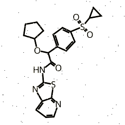 O=C(Nc1nc2cccnc2s1)C(OC1CCCC1)c1ccc(S(=O)(=O)C2CC2)cc1